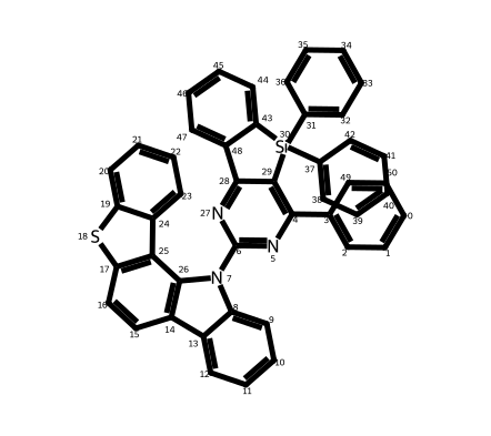 c1ccc(-c2nc(-n3c4ccccc4c4ccc5sc6ccccc6c5c43)nc3c2[Si](c2ccccc2)(c2ccccc2)c2ccccc2-3)cc1